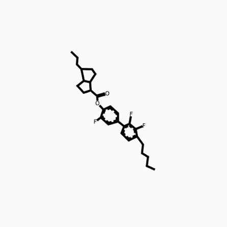 CCCCCc1ccc(-c2ccc(OC(=O)C3CCC4C(CCC)CCC34)c(F)c2)c(F)c1F